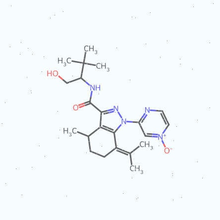 CC(C)=C1CCC(C)c2c(C(=O)NC(CO)C(C)(C)C)nn(-c3c[n+]([O-])ccn3)c21